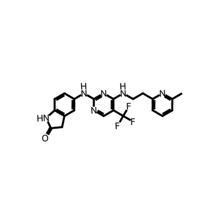 Cc1cccc(CCNc2nc(Nc3ccc4c(c3)CC(=O)N4)ncc2C(F)(F)F)n1